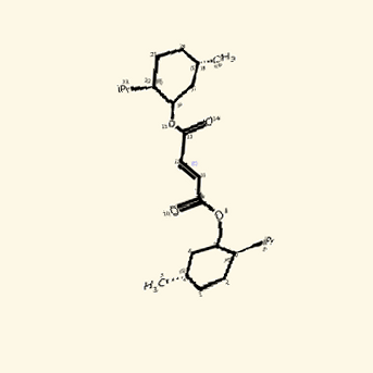 CC(C)[C@H]1CC[C@H](C)CC1OC(=O)/C=C/C(=O)OC1C[C@@H](C)CC[C@@H]1C(C)C